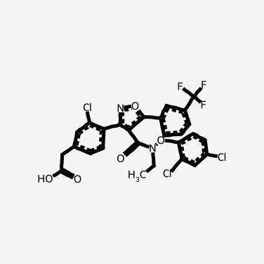 CCN(Oc1ccc(Cl)cc1Cl)C(=O)c1c(-c2ccc(CC(=O)O)cc2Cl)noc1-c1cccc(C(F)(F)F)c1